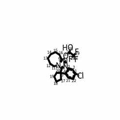 Clc1ccc(C2(c3nnc4n3CCCCCC4)CCCC2)cc1.O=C(O)C(F)(F)F